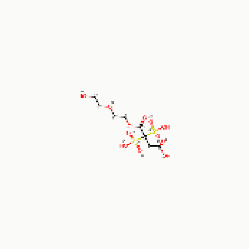 O=C(O)CC(C(=O)OCCOCCO)(S(=O)(=O)O)S(=O)(=O)O